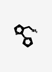 NCc1ccsc1-n1cccc1